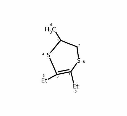 CCC1=C(CC)SC(C)CS1